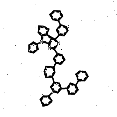 c1ccc(-c2cccc(-c3cc(-c4ccccc4)cc(-c4cccc(-c5cccc(-c6nc(-c7cccc(-c8ccccc8)c7)c7c8ccccc8n(-c8ccccc8)c7n6)c5)c4)c3)c2)cc1